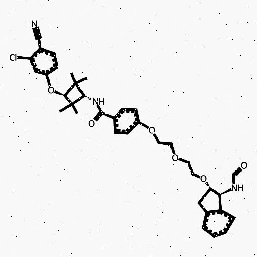 CC1(C)[C@H](NC(=O)c2ccc(OCCOCCO[C@@H]3Cc4ccccc4[C@@H]3NC=O)cc2)C(C)(C)[C@H]1Oc1ccc(C#N)c(Cl)c1